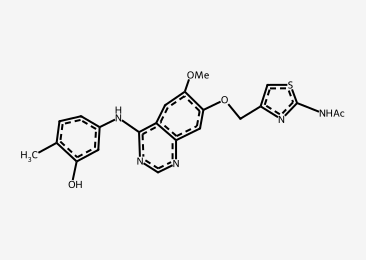 COc1cc2c(Nc3ccc(C)c(O)c3)ncnc2cc1OCc1csc(NC(C)=O)n1